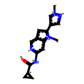 Cn1cc(-c2cc3cnc(NC(=O)C4CC4)cc3n2C)cn1